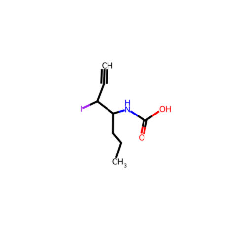 C#CC(I)C(CCC)NC(=O)O